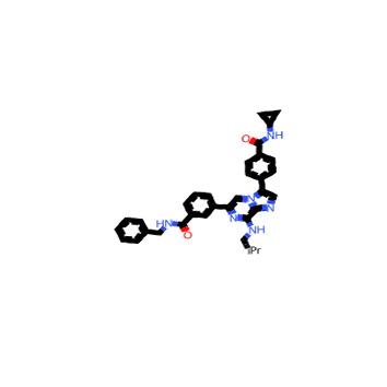 CC(C)CNc1nc(-c2cccc(C(=O)NCc3ccccc3)c2)cn2c(-c3ccc(C(=O)NC4CC4)cc3)cnc12